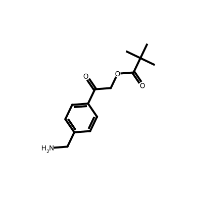 CC(C)(C)C(=O)OCC(=O)c1ccc(CN)cc1